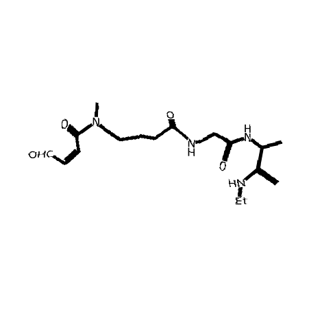 C=C(NCC)C(C)NC(=O)CNC(=O)CCCN(C)C(=O)/C=C\C=O